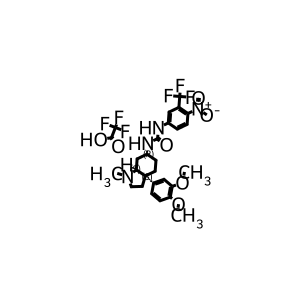 COc1ccc([C@@]23CC[C@@H](NC(=O)Nc4ccc([N+](=O)[O-])c(C(F)(F)F)c4)C[C@@H]2N(C)CC3)cc1OC.O=C(O)C(F)(F)F